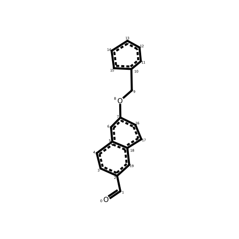 O=Cc1ccc2cc(OCc3ccccc3)ccc2c1